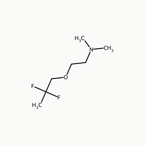 CN(C)CCOCC(C)(F)F